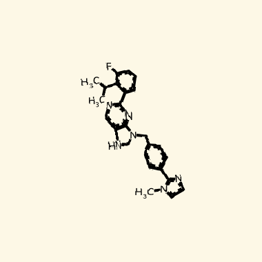 CC(C)c1c(F)cccc1-c1ncc2c(n1)N(Cc1ccc(-c3nccn3C)cc1)CN2